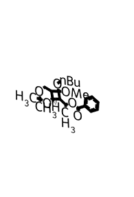 CCCCOC1(OC)C2COC(C)(C)O[C@H]2C1C(C)OC(=O)c1ccccc1